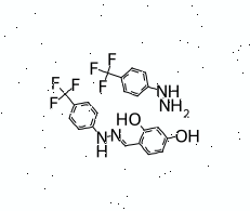 NNc1ccc(C(F)(F)F)cc1.Oc1ccc(C=NNc2ccc(C(F)(F)F)cc2)c(O)c1